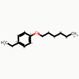 C[CH]c1ccc(OCCCCCC)cc1